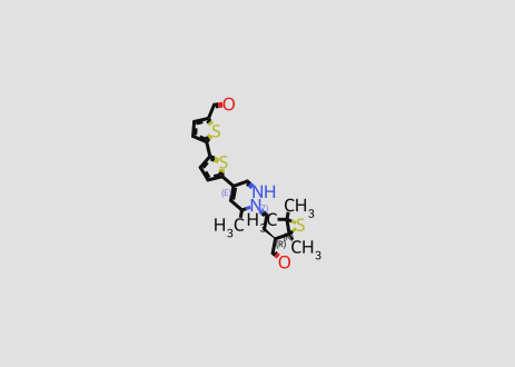 CC(/C=C(\C=N)c1ccc(-c2ccc(C=O)s2)s1)/N=C\C[C@H](C=O)[C@@]1(C)SC1(C)C